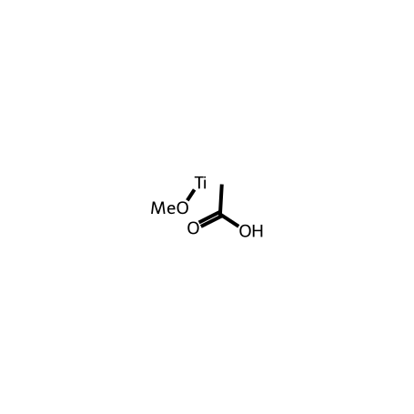 CC(=O)O.C[O][Ti]